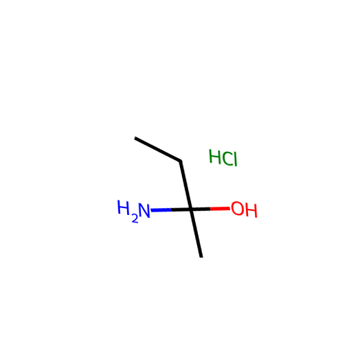 CCC(C)(N)O.Cl